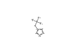 FC(F)(F)Cc1[c]scc1